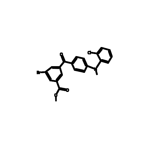 COC(=O)c1cc(Br)cc(C(=O)c2ccc(N(C)c3ccccc3Cl)cc2)c1